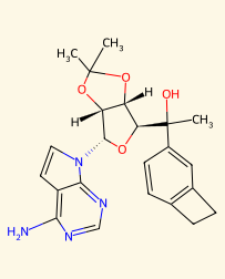 CC1(C)O[C@@H]2[C@H](O1)[C@@H](C(C)(O)c1ccc3c(c1)CC3)O[C@@H]2n1ccc2c(N)ncnc21